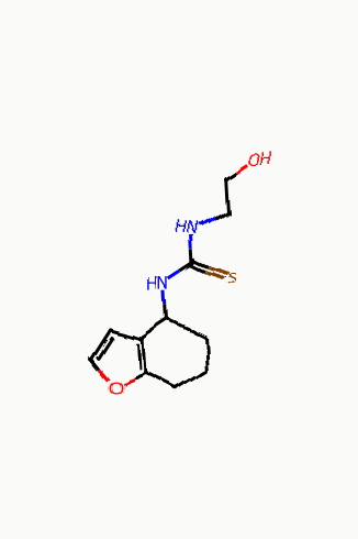 OCCNC(=S)NC1CCCc2occc21